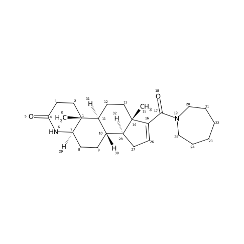 C[C@]12CCC(=O)N[C@@H]1CC[C@@H]1[C@@H]2CC[C@]2(C)C(C(=O)N3CCCCCC3)=CC[C@@H]12